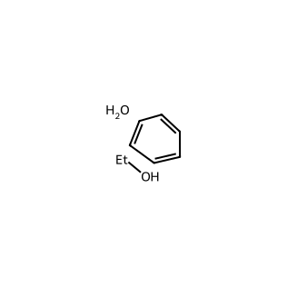 CCO.O.c1ccccc1